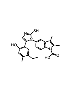 CCc1cc(-c2cnc(S)n2-c2ccc3c(c2)c(C)c(C)n3C(=O)O)c(O)cc1C